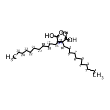 CCCCCCCCCCC/C(C(=O)O)=C(\CCCCCCCCCCC)C(=O)O